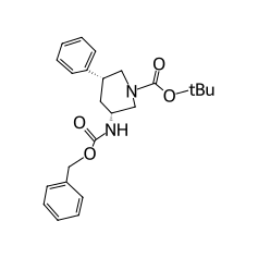 CC(C)(C)OC(=O)N1C[C@H](NC(=O)OCc2ccccc2)C[C@H](c2ccccc2)C1